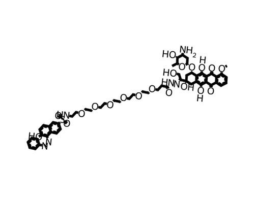 COc1cccc2c1C(=O)c1c(O)c3c(c(O)c1C2=O)C[C@](O)(/C(CO)=N/NC(=O)CCOCCOCCOCCOCCOCCOCCNS(=O)(=O)c1ccc2c(/N=N\c4ccccc4)c(O)ccc2c1)C[C@@H]3O[C@H]1CC(N)[C@H](O)C(C)O1